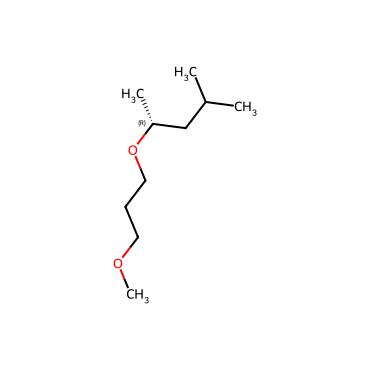 COCCCO[C@H](C)CC(C)C